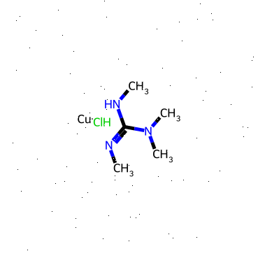 CN=C(NC)N(C)C.Cl.[Cu]